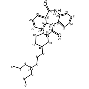 CCCN(CCC)CCCC1CCCN(C(=O)N2c3ccccc3NC(=O)c3cccnc32)C1